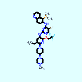 CCc1cc(Nc2ncc(Br)c(Nc3ccc4ncccc4c3P(C)C)n2)c(OCC(F)(F)F)nc1N1CCC(N2CCN(C)CC2)CC1